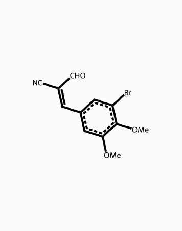 COc1cc(C=C(C#N)C=O)cc(Br)c1OC